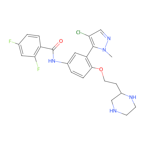 Cn1ncc(Cl)c1-c1cc(NC(=O)c2ccc(F)cc2F)ccc1OCCC1CNCCN1